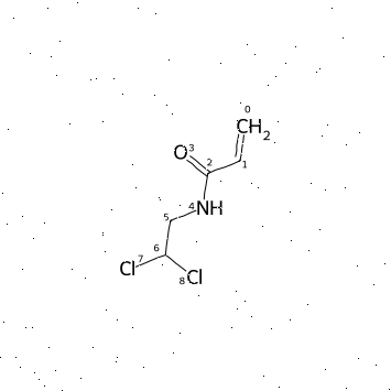 C=CC(=O)NCC(Cl)Cl